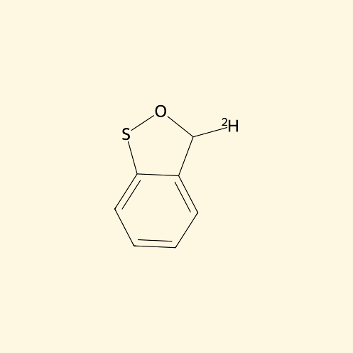 [2H]C1OSc2ccccc21